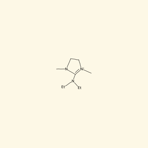 CCN(CC)C1=[N+](C)CCN1C